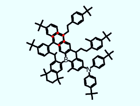 Cc1cc(C(C)(C)C)ccc1CCC1c2cc(C(CCc3ccc(C(C)(C)C)cc3)c3ccc(C(C)(C)C)cc3)ccc2B(c2cc3c(cc2C(C)c2ccc(C(C)(C)C)cc2-c2ccccc2)C(C)(C)CCC3(C)C)c2c(C)cc(N(c3ccc(C(C)(C)C)cc3)c3ccc(C(C)(C)C)cc3)cc21